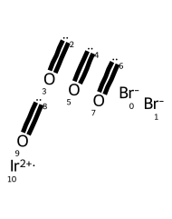 [Br-].[Br-].[C]=O.[C]=O.[C]=O.[C]=O.[Ir+2]